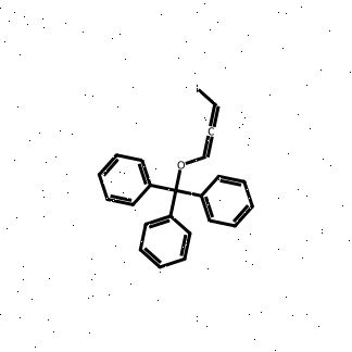 IC=C=COC(c1ccccc1)(c1ccccc1)c1ccccc1